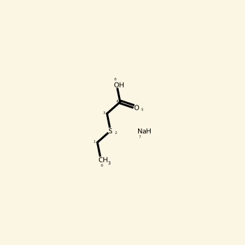 CCSCC(=O)O.[NaH]